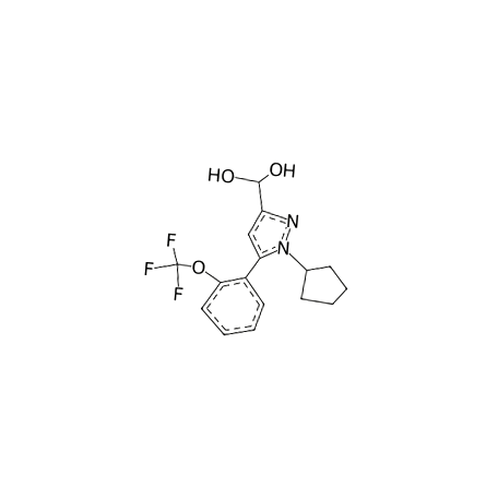 OC(O)c1cc(-c2ccccc2OC(F)(F)F)n(C2CCCC2)n1